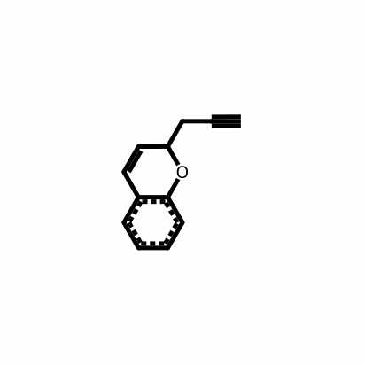 C#CCC1C=Cc2ccccc2O1